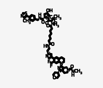 CNC(=O)N1CCc2c(c(N3CCCc4cc(-c5cnn(CCNC(=O)CCCCCCC(=O)N[C@H](C(=O)N6C[C@H](O)C[C@H]6C(=O)NCc6ccc(-c7scnc7C)cc6)C(C)(C)C)c5)c(C(F)F)cc43)nn2C2CCOCC2)C1